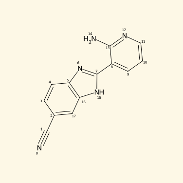 N#Cc1ccc2nc(-c3cccnc3N)[nH]c2c1